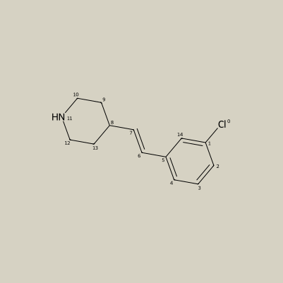 Clc1cccc(/C=C/C2CCNCC2)c1